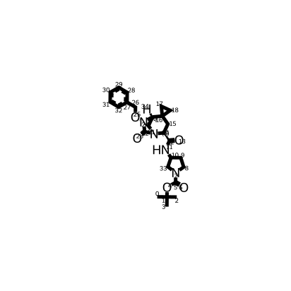 CC(C)(C)OC(=O)N1CCC(NC(=O)[C@@H]2CC3(CC3)[C@@H]3CN2C(=O)N3OCc2ccccc2)C1